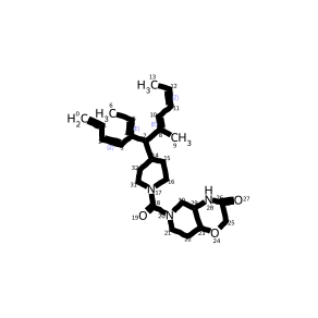 C=C/C=C\C(=C/C)C(/C(C)=C/C=C\C)C1CCN(C(=O)N2CCC3OCC(=O)NC3C2)CC1